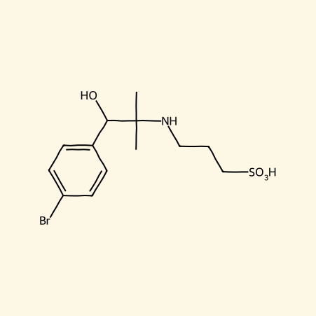 CC(C)(NCCCS(=O)(=O)O)C(O)c1ccc(Br)cc1